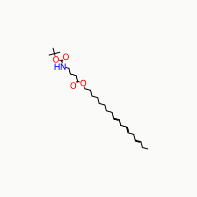 CCC=CCC=CCC=CCCCCCCCCOC(=O)CCCNC(=O)OC(C)(C)C